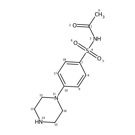 CC(=O)NS(=O)(=O)c1ccc(N2CCNCC2)cc1